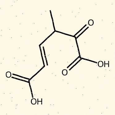 CC(C=CC(=O)O)C(=O)C(=O)O